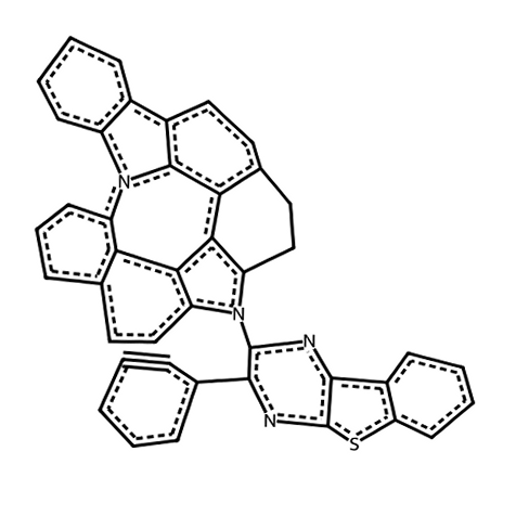 c1cccc(-c2nc3sc4ccccc4c3nc2-n2c3c4c5c(ccc6c7ccccc7n(c7cccc8ccc2c4c87)c65)CC3)c#1